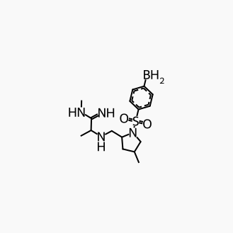 Bc1ccc(S(=O)(=O)N2CC(C)CC2CNC(C)C(=N)NC)cc1